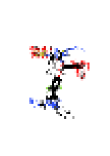 C[n+]1cc(-c2c(F)cc(OC[C@H](O/N=C(\C(=O)NC3C(=O)N(OS(=O)(=O)[O-])C3(C)C)c3csc(N)n3)C(=O)O)cc2F)cn1CCCN